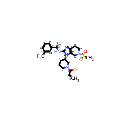 C=CC(=O)N1CCCC(n2c(NC(=O)c3cccc(C(F)(F)F)c3)nc3c2CN(S(C)(=O)=O)CC3)C1